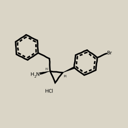 Cl.N[C@]1(Cc2ccccc2)C[C@@H]1c1ccc(Br)cc1